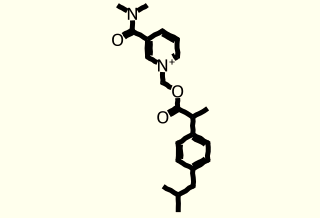 CC(C)Cc1ccc(C(C)C(=O)OC[n+]2cccc(C(=O)N(C)C)c2)cc1